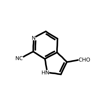 N#Cc1nccc2c(C=O)c[nH]c12